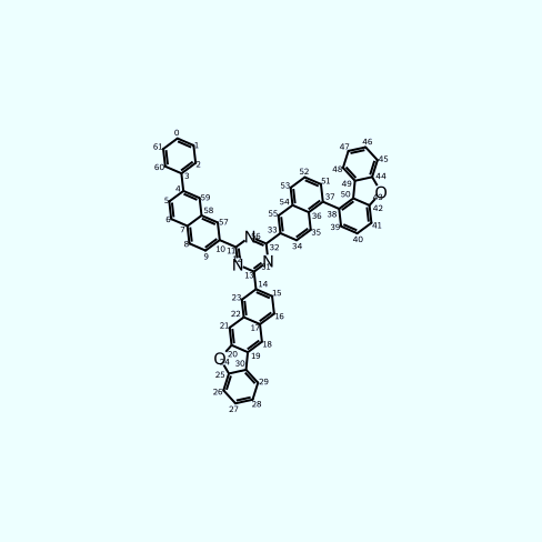 c1ccc(-c2ccc3ccc(-c4nc(-c5ccc6cc7c(cc6c5)oc5ccccc57)nc(-c5ccc6c(-c7cccc8oc9ccccc9c78)cccc6c5)n4)cc3c2)cc1